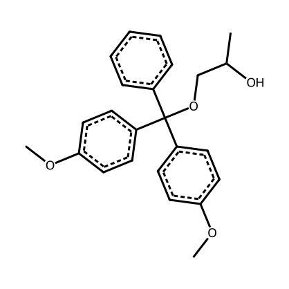 COc1ccc(C(OCC(C)O)(c2ccccc2)c2ccc(OC)cc2)cc1